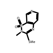 CSC1=Nc2ccncc2S(=O)(=O)N1C